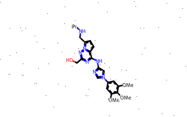 COc1cc(-n2cnc(Nc3nc(CO)nn4c(CNC(C)C)ccc34)c2)cc(OC)c1OC